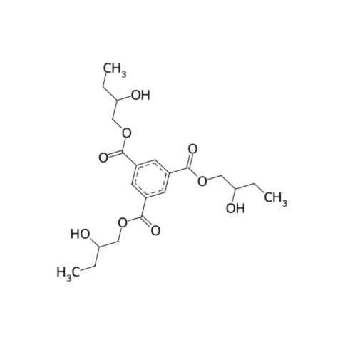 CCC(O)COC(=O)c1cc(C(=O)OCC(O)CC)cc(C(=O)OCC(O)CC)c1